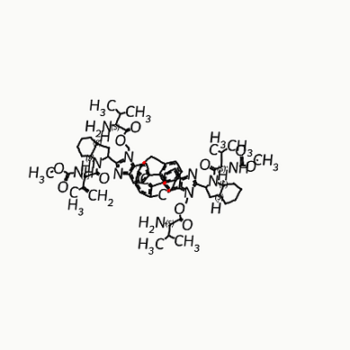 C=C(C)[C@H](NC(=O)OC)C(=O)N1C(c2nc3ccc(-c4cc5ccc4CCc4ccc(c(-c6ccc7nc(C8C[C@@H]9CCCC[C@@H]9N8C(=O)[C@@H](NC(=O)OC)C(C)C)n(COC(=O)[C@@H](N)C(C)C)c7c6)c4)CC5)cc3n2COC(=O)[C@@H](N)C(C)C)C[C@@H]2CCCC[C@@H]21